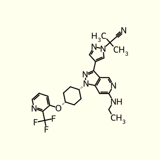 CCNc1cc2c(cn1)c(-c1cnn(C(C)(C)C#N)c1)nn2[C@H]1CC[C@@H](Oc2cccnc2C(F)(F)F)CC1